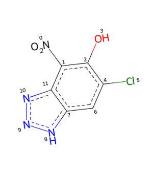 O=[N+]([O-])c1c(O)c(Cl)cc2[nH]nnc12